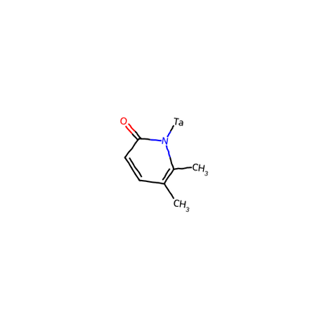 Cc1ccc(=O)[n]([Ta])c1C